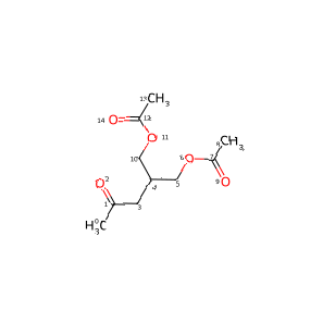 CC(=O)CC(COC(C)=O)COC(C)=O